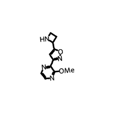 COc1nccnc1-c1cc(C2CCN2)on1